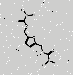 O=C(OCc1ccc(COC(=O)N(Cl)Cl)o1)N(Cl)Cl